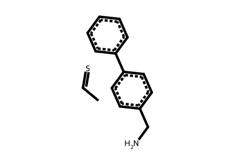 CC=S.NCc1ccc(-c2ccccc2)cc1